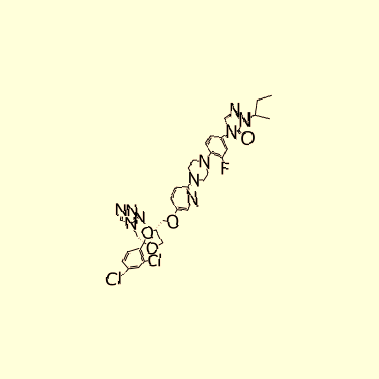 CCC(C)n1ncn(-c2ccc(N3CCN(c4ccc(OC[C@@H]5CO[C@@](Cn6cnnn6)(c6ccc(Cl)cc6Cl)O5)cn4)CC3)c(F)c2)c1=O